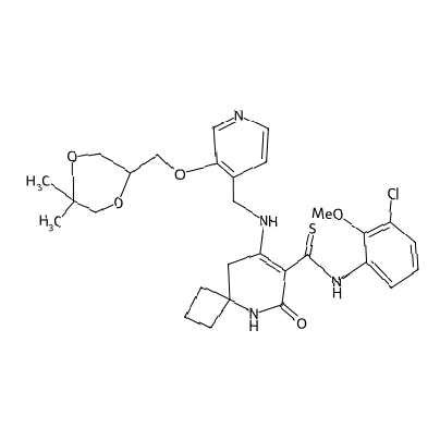 COc1c(Cl)cccc1NC(=S)C1=C(NCc2ccncc2OCC2COC(C)(C)CO2)CC2(CCC2)NC1=O